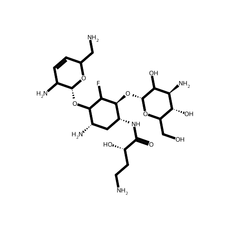 NCC[C@H](O)C(=O)N[C@@H]1C[C@H](N)C(O[C@H]2OC(CN)C=CC2N)C(F)[C@H]1O[C@H]1OC(CO)[C@@H](O)[C@H](N)C1O